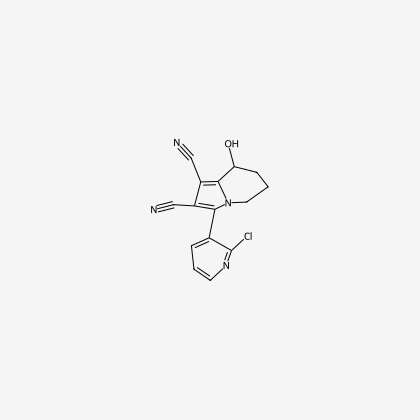 N#Cc1c(C#N)c2n(c1-c1cccnc1Cl)CCCC2O